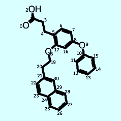 O=C(O)CCc1ccc(Oc2ccccc2)cc1OCCc1ccc2ccccc2c1